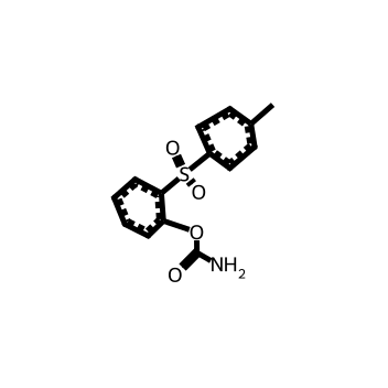 Cc1ccc(S(=O)(=O)c2ccccc2OC(N)=O)cc1